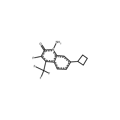 Nn1c(=O)c(F)c(C(F)(F)F)c2ccc(C3CCC3)cc21